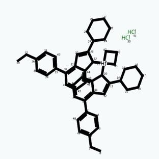 CCc1ccc(-c2cccc3c2C=C(C2CCCCC2)[CH]3[Hf]2([CH]3C(C4CCCCC4)=Cc4c(-c5ccc(CC)cc5)cccc43)[CH2]C[CH2]2)cc1.Cl.Cl